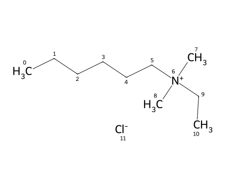 CCCCCC[N+](C)(C)CC.[Cl-]